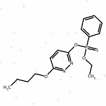 CCCCOc1ccc(OP(=S)(OCC)c2ccccc2)nn1